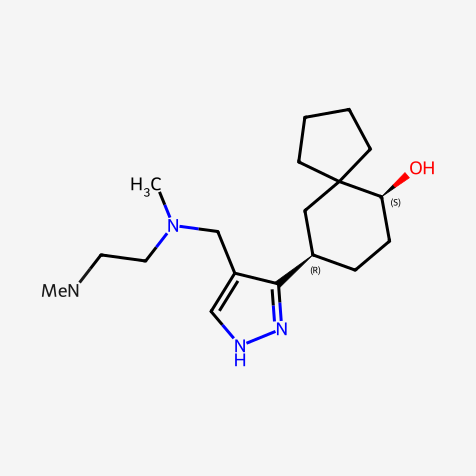 CNCCN(C)Cc1c[nH]nc1[C@@H]1CC[C@H](O)C2(CCCC2)C1